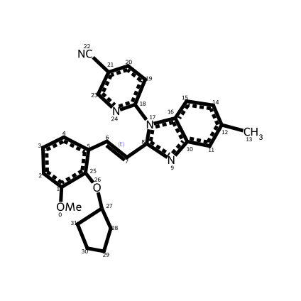 COc1cccc(/C=C/c2nc3cc(C)ccc3n2-c2ccc(C#N)cn2)c1OC1CCCC1